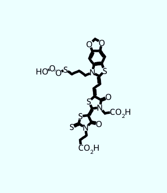 O=C(O)CCN1C(=O)/C(=c2/sc(=CC=C3Sc4cc5c(cc4N3CCCSOOO)OCO5)c(=O)n2CC(=O)O)SC1=S